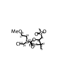 CCCC(C)(C)C(CS(C)(=O)=O)OC(=O)N(CCl)CCOC